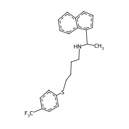 CC(NCCCCSc1ccc(C(F)(F)F)cc1)c1cccc2ccccc12